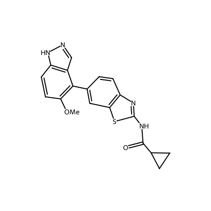 COc1ccc2[nH]ncc2c1-c1ccc2nc(NC(=O)C3CC3)sc2c1